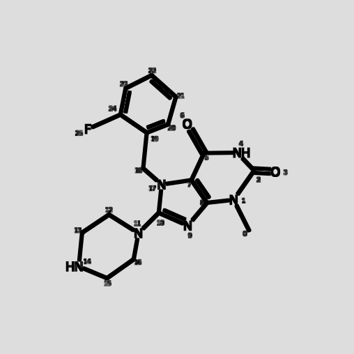 Cn1c(=O)[nH]c(=O)c2c1nc(N1CCNCC1)n2Cc1ccccc1F